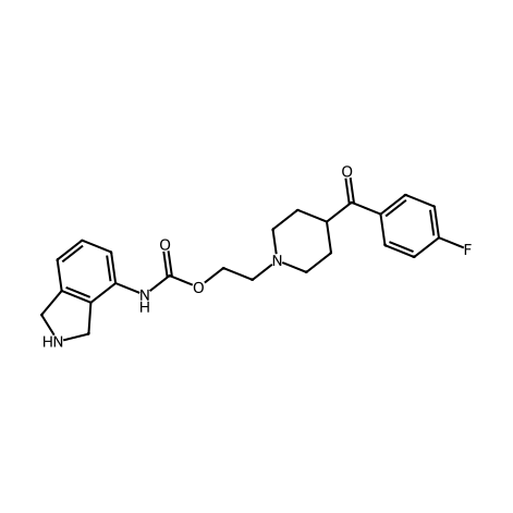 O=C(Nc1cccc2c1CNC2)OCCN1CCC(C(=O)c2ccc(F)cc2)CC1